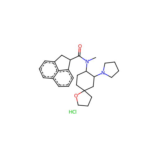 CN(C(=O)C1Cc2cccc3cccc1c23)C1CCC2(CCCO2)CC1N1CCCC1.Cl